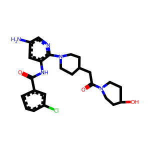 Nc1cnc(N2CCC(CC(=O)N3CCC(O)CC3)CC2)c(NC(=O)c2cccc(Cl)c2)c1